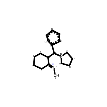 O/N=C1\CCCCC1C(c1ccccc1)N1CCCC1